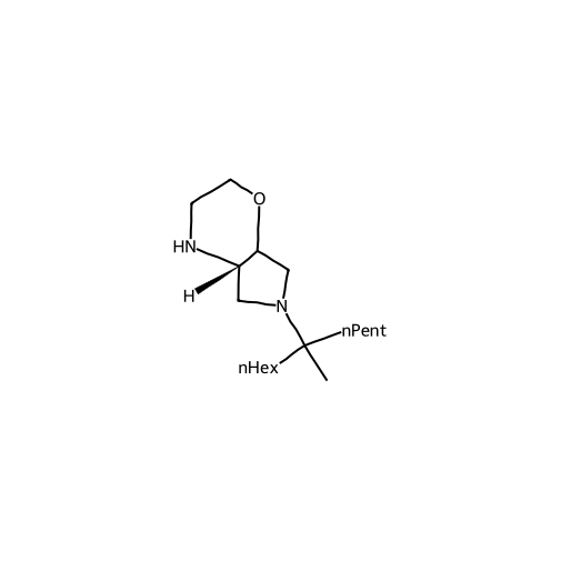 CCCCCCC(C)(CCCCC)N1CC2OCCN[C@H]2C1